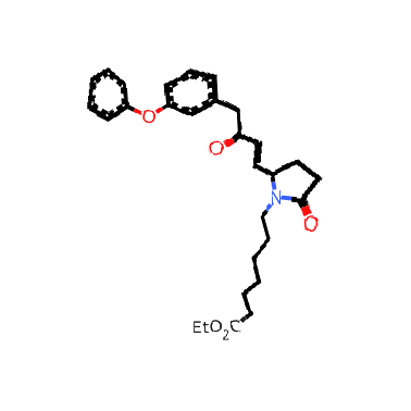 CCOC(=O)CCCCCCN1C(=O)CCC1/C=C/C(=O)Cc1cccc(Oc2ccccc2)c1